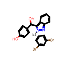 Brc1cccc(Br)c1.CCn1nc2ccccc2c1C(O)c1ccc(O)cc1